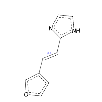 C(=C\c1ncc[nH]1)/c1ccoc1